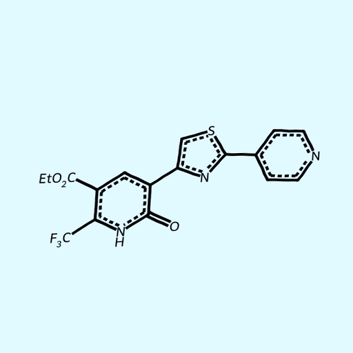 CCOC(=O)c1cc(-c2csc(-c3ccncc3)n2)c(=O)[nH]c1C(F)(F)F